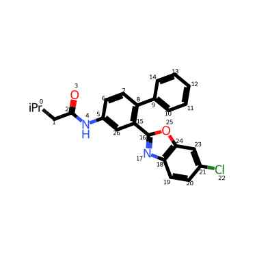 CC(C)CC(=O)Nc1ccc(-c2ccccc2)c(-c2nc3ccc(Cl)cc3o2)c1